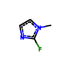 Cn1ccnc1F